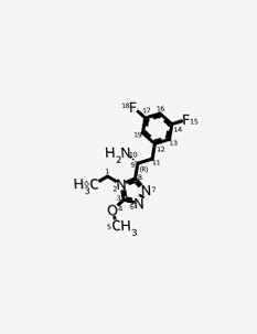 CCn1c(OC)nnc1[C@H](N)Cc1cc(F)cc(F)c1